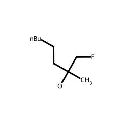 CCCCCCC(C)([O])CF